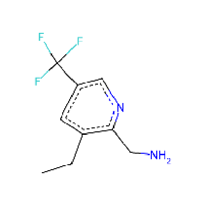 CCc1cc(C(F)(F)F)cnc1CN